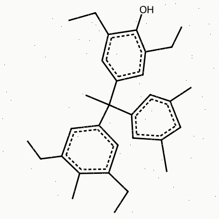 CCc1cc(C(C)(c2cc(C)cc(C)c2)c2cc(CC)c(O)c(CC)c2)cc(CC)c1C